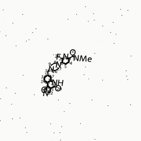 CNC(=O)c1ccc(N2CCN(Cc3ccc4c(c3)[nH]c(=O)c3cnoc34)CC2)c(F)n1